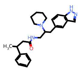 CC(CC(=O)NCC(Cc1ccc2[nH]ncc2c1)N1CCCCC1)c1ccccc1